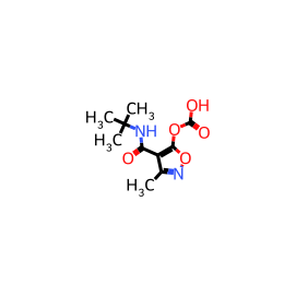 Cc1noc(OC(=O)O)c1C(=O)NC(C)(C)C